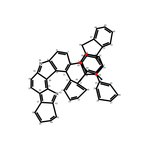 Cc1cc2c(c(-c3ccc4c(c3-c3ccccc3-c3ccccc3-c3ccccc3)-c3c5c(ccc3=N4)=c3ccccc3=N5)c1C)Cc1ccccc1-2